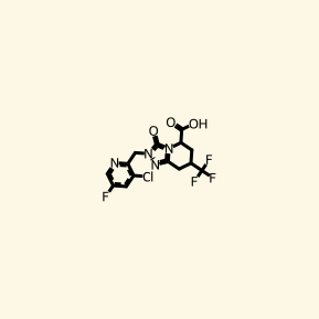 O=C(O)C1CC(C(F)(F)F)Cc2nn(Cc3ncc(F)cc3Cl)c(=O)n21